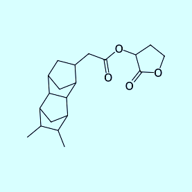 CC1C(C)C2CC1C1C3CC(CC(=O)OC4CCOC4=O)C(C3)C21